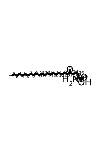 CCC=CCC=CCC=CCC=CCC=CCCCCCC(=O)CC[C@H](C)[C@H](N)C(=O)O